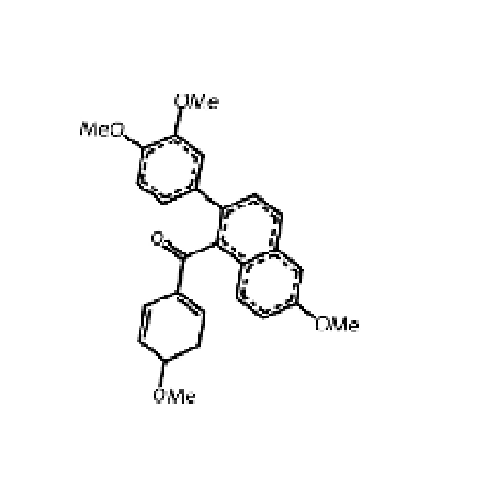 COc1ccc2c(C(=O)C3=CCC(OC)C=C3)c(-c3ccc(OC)c(OC)c3)ccc2c1